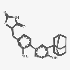 Nc1cc(C=C2SC(=O)NC2=O)ccc1-c1ccc(O)c(C23CC4CC(CC(C4)C2)C3)c1